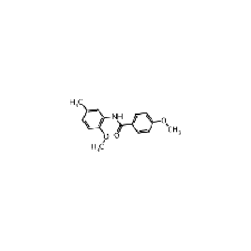 COc1ccc(C(=O)Nc2cc(C)ccc2OC)cc1